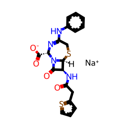 O=C(Cc1cccs1)N[C@H]1C(=O)N2[C@H](C(=O)[O-])N=C(Nc3ccccc3)CS[C@@H]12.[Na+]